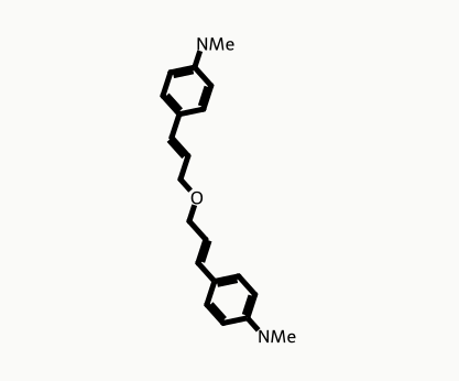 CNc1ccc(C=CCOCC=Cc2ccc(NC)cc2)cc1